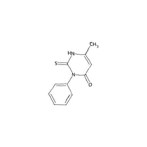 Cc1cc(=O)n(-c2ccccc2)c(=S)[nH]1